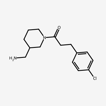 NCC1CCCN(C(=O)CCc2ccc(Cl)cc2)C1